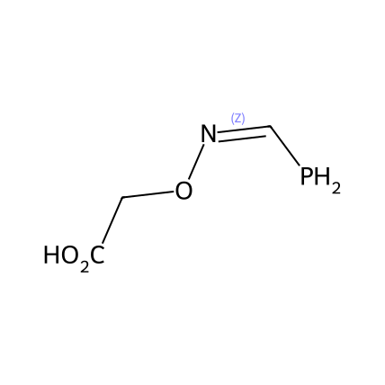 O=C(O)CO/N=C\P